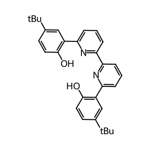 CC(C)(C)c1ccc(O)c(-c2cccc(-c3cccc(-c4cc(C(C)(C)C)ccc4O)n3)n2)c1